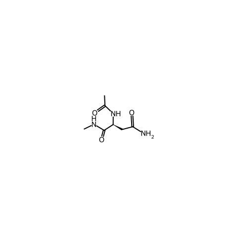 CNC(=O)[C@H](CC(N)=O)NC(C)=O